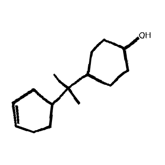 CC(C)(C1CC=CCC1)C1CCC(O)CC1